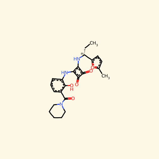 CC[C@@H](Nc1c(Nc2cccc(C(=O)N3CCCCC3)c2O)c(=O)c1=O)c1ccc(C)o1